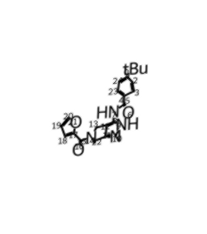 CC(C)(C)c1ccc(C(=O)Nc2[nH]nc3c2CN(C(=O)c2ccco2)C3)cc1